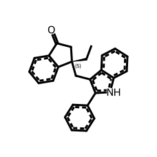 CC[C@]1(Cc2c(-c3ccccc3)[nH]c3ccccc23)CC(=O)c2ccccc21